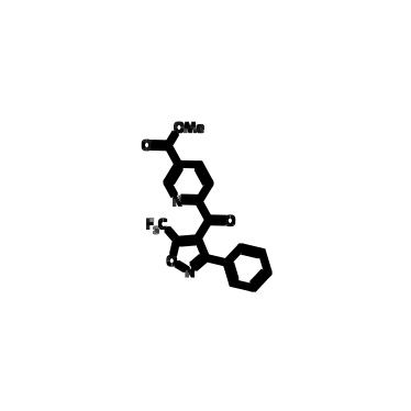 COC(=O)c1ccc(C(=O)c2c(-c3ccccc3)noc2C(F)(F)F)nc1